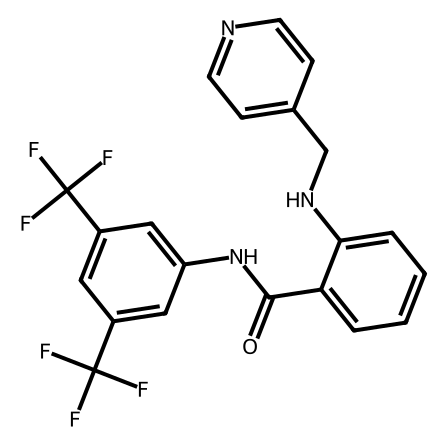 O=C(Nc1cc(C(F)(F)F)cc(C(F)(F)F)c1)c1ccccc1NCc1ccncc1